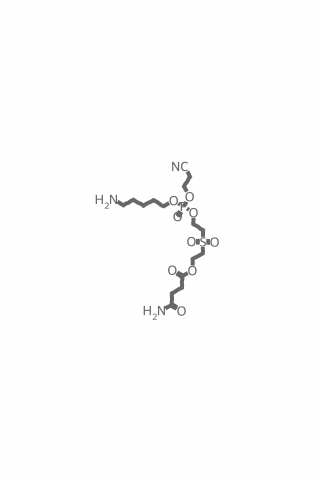 N#CCCOP(=O)(OCCCCCN)OCCS(=O)(=O)CCOC(=O)CCC(N)=O